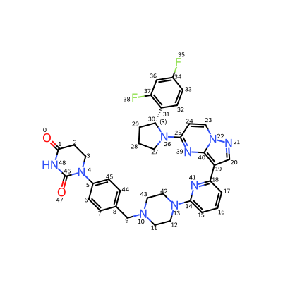 O=C1CCN(c2ccc(CN3CCN(c4cccc(-c5cnn6ccc(N7CCC[C@@H]7c7ccc(F)cc7F)nc56)n4)CC3)cc2)C(=O)N1